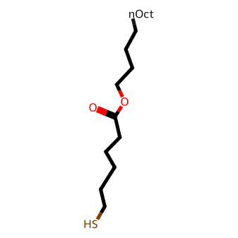 CCCCCCCCCCCCOC(=O)CCCCCS